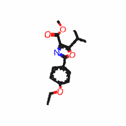 CCOc1ccc(-c2nc(C(=O)OC)c(C(C)C)o2)cc1